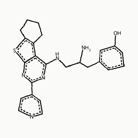 NC(CNc1nc(-c2ccncc2)nc2sc3c(c12)CCCC3)Cc1cccc(O)c1